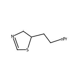 CCCCCC1[CH]N=CS1